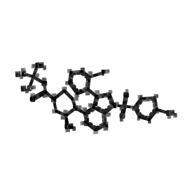 Cc1ccc(S(=O)(=O)n2cc(-c3ccccc3F)c3c(N4CCN(C(=O)OC(C)(C)C)C[C@@H]4C)ncnc32)cc1